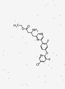 CCOC(=O)CC(N)Cc1cncc(-c2ccc(Oc3ncc(Cl)cc3F)cc2F)n1